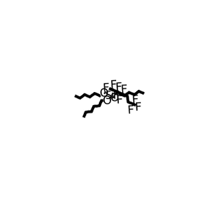 CCCCCCO[Si](OCCCCCC)(OCCCCCC)C(F)(F)C(F)(F)C(F)(F)CCC(F)(F)F